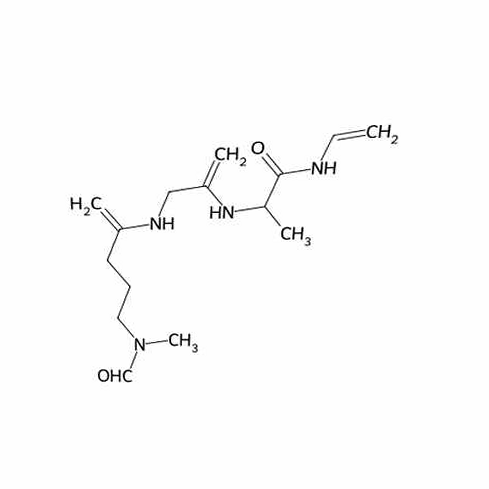 C=CNC(=O)C(C)NC(=C)CNC(=C)CCCN(C)C=O